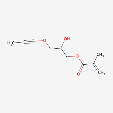 C=C(C)C(=O)OCC(O)COC#CC